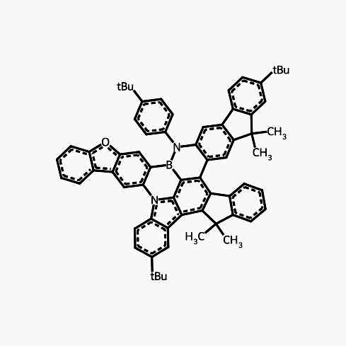 CC(C)(C)c1ccc(N2B3c4cc5oc6ccccc6c5cc4-n4c5ccc(C(C)(C)C)cc5c5c6c(c(c3c54)-c3cc4c(cc32)-c2ccc(C(C)(C)C)cc2C4(C)C)-c2ccccc2C6(C)C)cc1